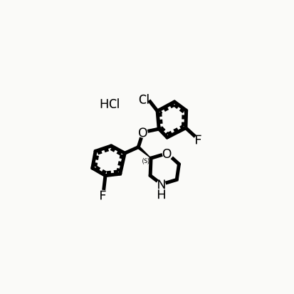 Cl.Fc1cccc(C(Oc2cc(F)ccc2Cl)[C@@H]2CNCCO2)c1